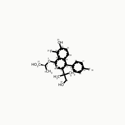 C[C@H](Oc1nc(C(C)(C)CO)c(-c2ccc(F)cc2)c2ccc(O)c(F)c12)C(=O)O